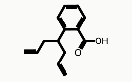 C=CCC(CC=C)c1ccccc1C(=O)O